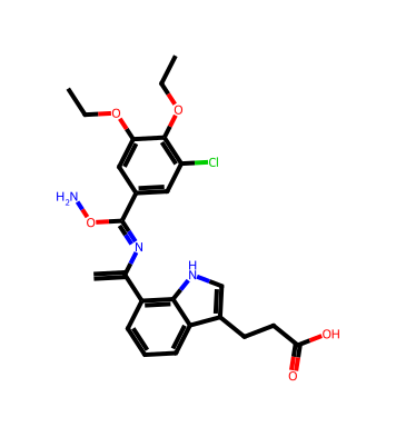 C=C(/N=C(\ON)c1cc(Cl)c(OCC)c(OCC)c1)c1cccc2c(CCC(=O)O)c[nH]c12